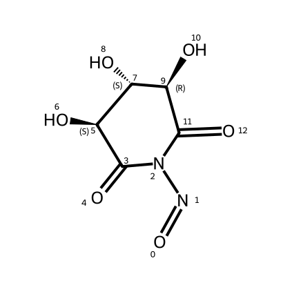 O=NN1C(=O)[C@@H](O)[C@H](O)[C@@H](O)C1=O